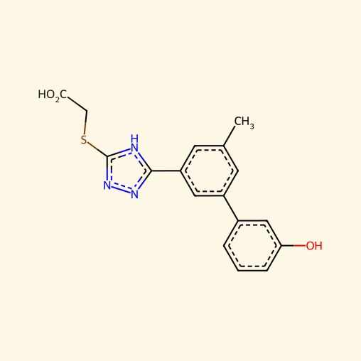 Cc1cc(-c2cccc(O)c2)cc(-c2nnc(SCC(=O)O)[nH]2)c1